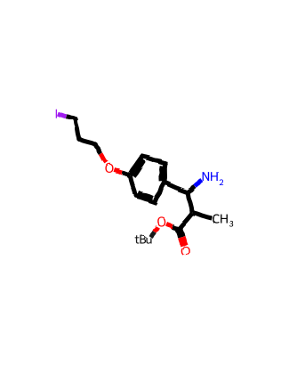 CC(C(=O)OC(C)(C)C)C(N)c1ccc(OCCCI)cc1